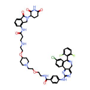 O=C1CCC(N2Cc3c(NC(=O)CCNCCOC4CCN(CCOCCNC(=O)c5ccc(Nc6ncc7c(n6)-c6ccc(Cl)cc6C(c6c(F)cccc6F)=NC7)cc5)CC4)cccc3C2=O)C(=O)N1